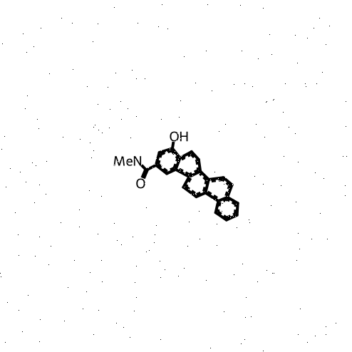 CNC(=O)c1cc(O)c2ccc3c(ccc4c5ccccc5ccc43)c2c1